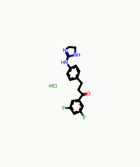 Cl.O=C(CCc1ccc(NC2=NCCN2)cc1)c1cc(F)cc(F)c1